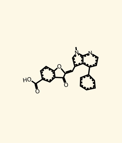 Cn1cc(/C=C2\Oc3ccc(C(=O)O)cc3C2=O)c2c(-c3ccccc3)ccnc21